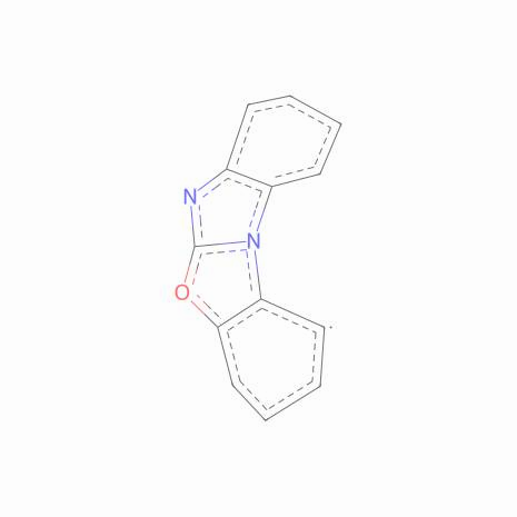 [c]1cccc2oc3nc4ccccc4n3c12